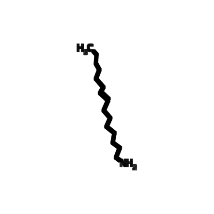 CCCCCCC=CCCCCCCCN